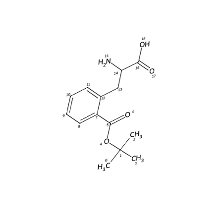 CC(C)(C)OC(=O)c1ccccc1CC(N)C(=O)O